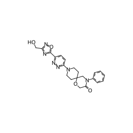 O=C1COC2(CCN(c3ccc(-c4nc(CO)no4)nn3)CC2)CN1c1ccccc1